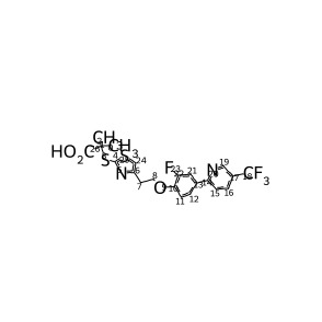 CC(C)(Sc1nc(CCOc2ccc(-c3ccc(C(F)(F)F)cn3)cc2F)cs1)C(=O)O